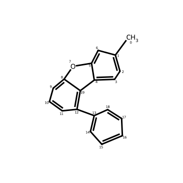 Cc1ccc2c(c1)oc1cccc(-c3ccccc3)c12